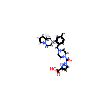 Cc1ccc(CN2CCN(C(=O)n3ccc(C(=O)O)n3)CC2)c(N2CCN3CCC[C@H]3C2)c1